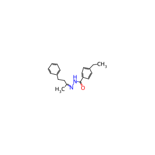 CCc1ccc(C(=O)NN=C(C)CCc2ccccc2)cc1